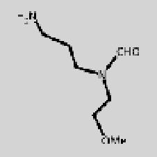 COCCN(C=O)CCCN